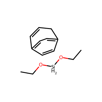 C1=Cc2ccc(cc2)C1.CCO[SiH2]OCC